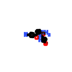 COc1ccc(C(=O)Nc2c(N)cccc2C(=O)c2ccc(C#N)cc2)cc1